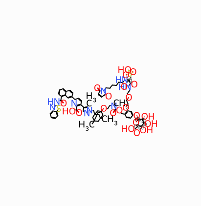 Cc1c(-c2ccc(-c3ccc4cccc(C(=O)Nc5nc6ccccc6s5)c4c3)nc2C(=O)O)cnn1CC12CC3(C)CC(C)(C1)CC(OCCN(C)C(=O)OCc1ccc(O[C@@H]4O[C@H](C(=O)O)[C@@H](O)[C@H](O)[C@H]4O)cc1OCCOCCNC(=O)[C@H](CS(=O)(=O)O)NC(=O)CCCCCN1C(=O)C=CC1=O)(C3)C2